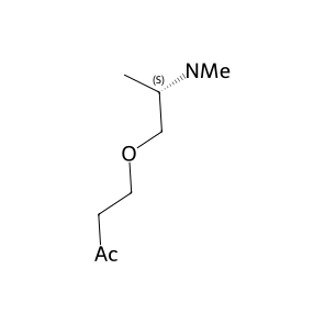 CN[C@@H](C)COCCC(C)=O